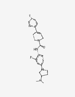 CN(C)C1CCN(c2ccc(NC(=O)N3CC=C(c4ccc(F)cn4)CC3)c(F)c2)C1